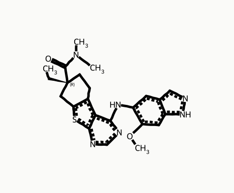 CC[C@@]1(C(=O)N(C)C)CCc2c(sc3ncnc(Nc4cc5cn[nH]c5cc4OC)c23)C1